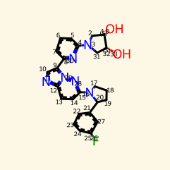 O[C@H]1CN(c2cccc(-c3cnc4ccc(N5CCCC5c5cccc(F)c5)nn34)n2)C[C@@H]1O